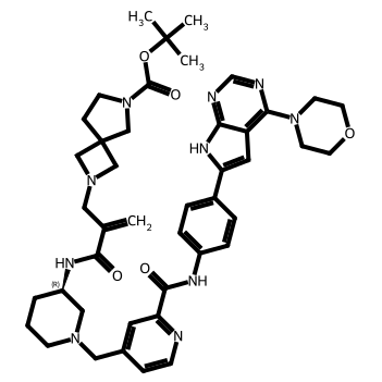 C=C(CN1CC2(CCN(C(=O)OC(C)(C)C)C2)C1)C(=O)N[C@@H]1CCCN(Cc2ccnc(C(=O)Nc3ccc(-c4cc5c(N6CCOCC6)ncnc5[nH]4)cc3)c2)C1